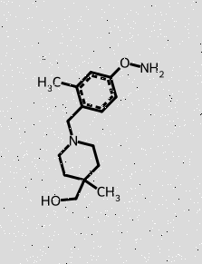 Cc1cc(ON)ccc1CN1CCC(C)(CO)CC1